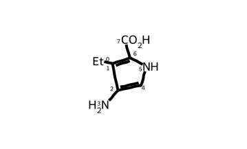 CCc1c(N)c[nH]c1C(=O)O